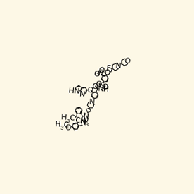 COc1ccc(CN2CCN(C3CC4(CCN(c5ccc(C(=O)NS(=O)(=O)c6ccc(OCC7(F)CCN(C8CCOCC8)CC7)c([N+](=O)[O-])c6)c(Oc6cnc7[nH]ccc7c6)c5)CC4)C3)[C@H](c3ccccc3C(C)C)C2)cc1